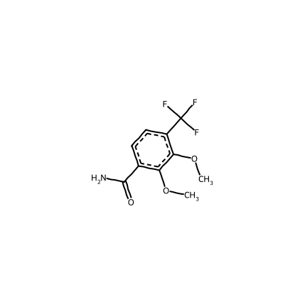 COc1c(C(N)=O)ccc(C(F)(F)F)c1OC